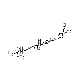 C=C(C)C(=O)NCCOCCOCC(=O)NCCCOCCCNCc1ccc(N(CCCl)CCCl)cc1